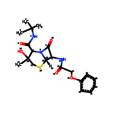 CC(C)(C)NC(=O)C1N2C(=O)C(NC(=O)COc3ccccc3)[C@@H]2SCC1(C)O